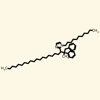 CCCCCCCCCCCCCCCCCCC(c1nccn1CCCCCCCCCCC)C(C)(Cc1ccccc1)c1ccccc1